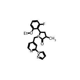 CCOc1cccc(F)c1C1CC(C)C(=O)N1Cc1ccnc(-n2cccn2)c1